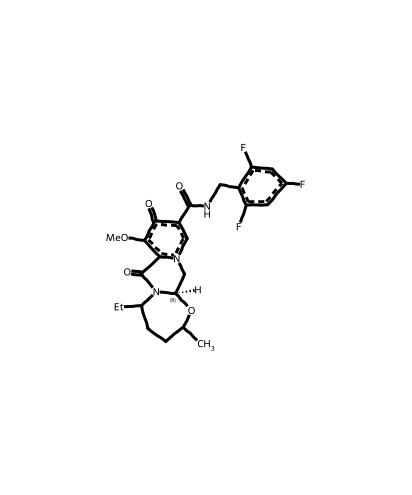 CCC1CCC(C)O[C@@H]2Cn3cc(C(=O)NCc4c(F)cc(F)cc4F)c(=O)c(OC)c3C(=O)N12